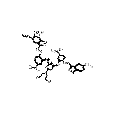 CCN(CC)c1ccc(/N=N/c2snc3ccc(C)cc23)c(Nc2nc(Nc3cc(N(CC)CC)ccc3/N=N/c3snc4cc(S(=O)(=O)O)c(OC)cc34)nc(N(CCO)CCO)n2)c1